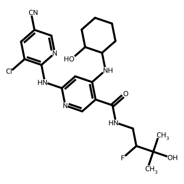 CC(C)(O)C(F)CNC(=O)c1cnc(Nc2ncc(C#N)cc2Cl)cc1NC1CCCCC1O